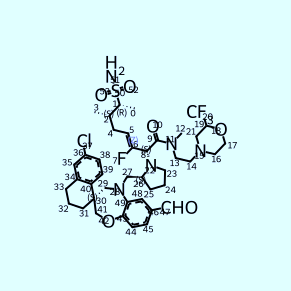 C[C@H]([C@@H](C)C/C=C(\F)[C@H](C(=O)N(C)CCN1CCOC(C(F)(F)F)C1)N1CCC[C@H]1CN1C[C@@]2(CCCc3cc(Cl)ccc32)COc2ccc(C=O)cc21)S(N)(=O)=O